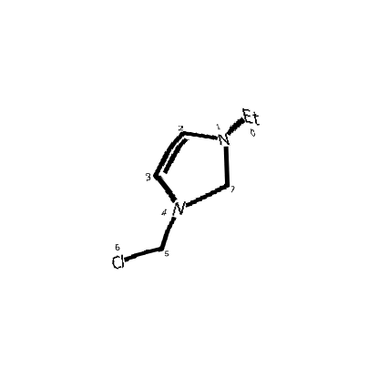 CCN1C=CN(CCl)C1